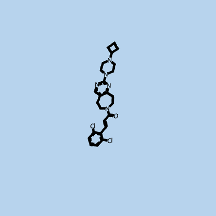 O=C(C=Cc1c(Cl)cccc1Cl)N1CCc2cnc(N3CCN(C4CCC4)CC3)nc2CC1